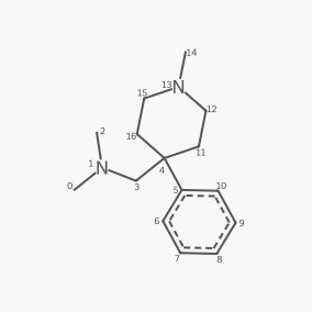 CN(C)CC1(c2ccccc2)CCN(C)CC1